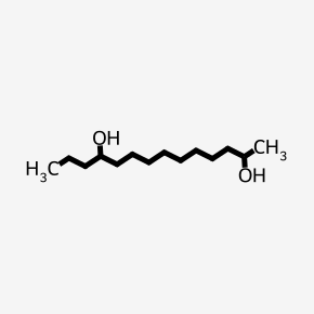 CCCC(O)CCCCCCCCC(C)O